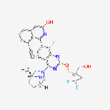 C#Cc1cccc2cc(O)nc(-c3c(F)cc4c(N5C[C@H]6CC[C@](C)(C5)N6)nc(OC[C@]5(CO)CC5(F)F)nc4c3F)c12